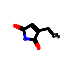 CCC1=CC(=O)[N]C1=O